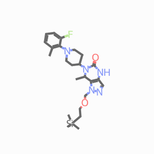 Cc1cccc(F)c1N1CCC(N2C(=O)Nc3cnn(COCC[Si](C)(C)C)c3C2C)CC1